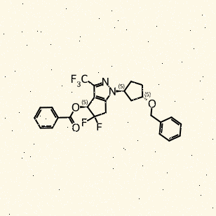 O=C(O[C@H]1c2c(C(F)(F)F)nn([C@H]3CC[C@H](OCc4ccccc4)C3)c2CC1(F)F)c1ccccc1